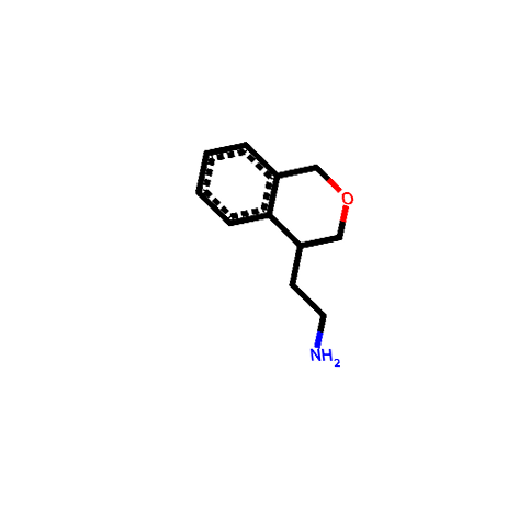 NCCC1COCc2ccccc21